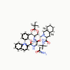 CC(C)(C)NC(=O)[C@@H]1C[C@@H]2CCCC[C@@H]2CN1C[C@@H](OC(=O)C(C)(C)C)[C@H](Cc1ccccc1)NC(=O)[C@H](CC(N)=O)NC(=O)c1ccc2ccccc2n1